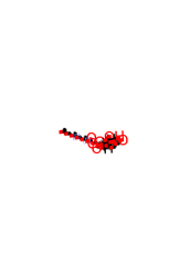 CC(C)=CCC/C(C)=C/CC/C(C)=C/C(=O)OCC(=O)[C@@]1(O)CC[C@H]2[C@@H]3CCC4=CC(=O)C=C[C@]4(C)[C@H]3[C@@H](O)C[C@@]21C